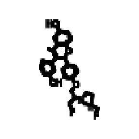 CC1=C(c2cccc(O)c2)C(c2ccc(OC[C@H](CF)N3CC[C@@H](CF)C3)cc2)Oc2ccc(O)cc21